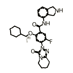 C[C@@H](Oc1cc(-n2nc3n(c2=O)CCCC3)c(F)cc1C(=O)Nc1cccc2c1CNC2)C1CCCCC1